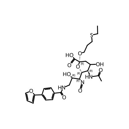 CCSCCCO[C@]1(C(=O)O)CC(O)[C@@H](NC(C)=O)[C@H]([C@H](N=O)[C@H](O)CNC(=O)c2ccc(-c3ccco3)cc2)O1